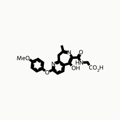 COc1ccc(Oc2ccc3c(n2)CC(C)=NC(C(=O)NCC(=O)O)=C3O)cc1